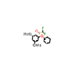 COc1cc(OC)cc(Oc2ccccc2)c1.O=[S+]C(F)F